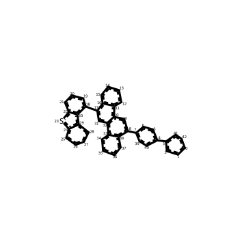 c1ccc(-c2ccc(-c3cc4c5ccccc5c(-c5cccc6sc7ccccc7c56)cc4c4ccccc34)cc2)cc1